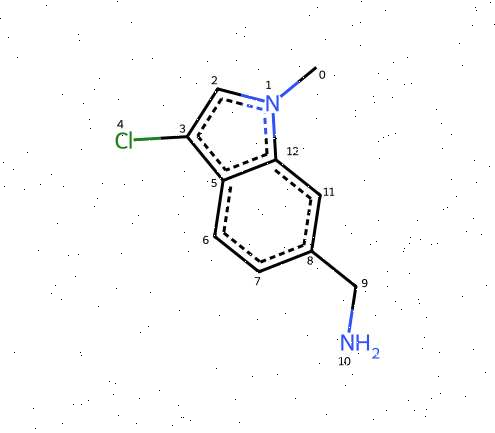 Cn1cc(Cl)c2ccc(CN)cc21